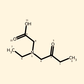 CCC(=O)CN(CC)CC(=O)O